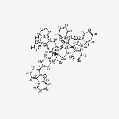 CC1(C)c2ccccc2-c2ccc(N(c3ccc(-c4cccc5c4oc4ccccc45)cc3)C34C=CC5=C(c6ccccc6C56c5ccc7ccccc7c5Oc5c6ccc6ccccc56)C3CC4)cc21